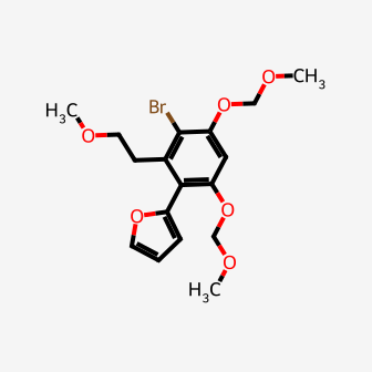 COCCc1c(Br)c(OCOC)cc(OCOC)c1-c1ccco1